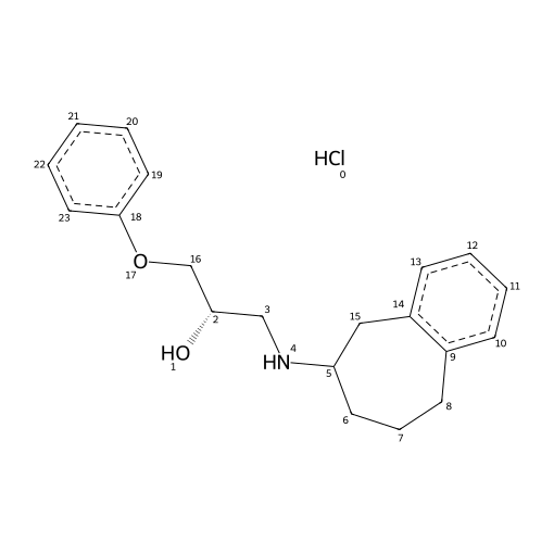 Cl.O[C@@H](CNC1CCCc2ccccc2C1)COc1ccccc1